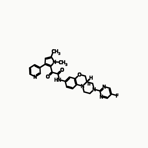 Cc1cc(-c2cccnc2)c(C(=O)C(=O)Nc2ccc3c(c2)OC[C@@H]2CN(c4ncc(F)cn4)CCN32)n1C